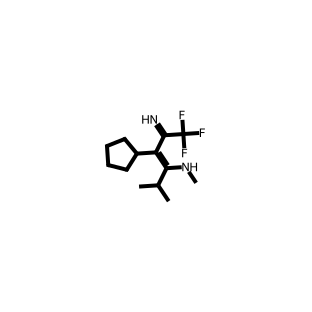 CN/C(=C(\C(=N)C(F)(F)F)C1CCCC1)C(C)C